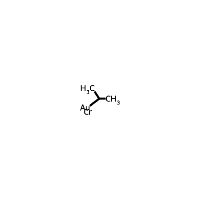 C[CH](C)[Au].[Cr]